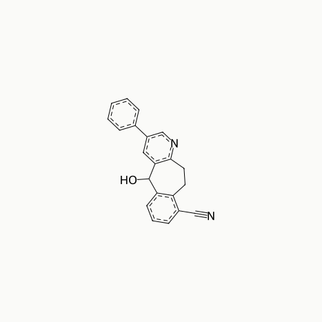 N#Cc1cccc2c1CCc1ncc(-c3ccccc3)cc1C2O